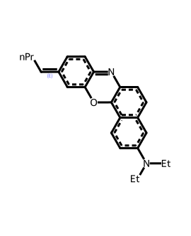 CCC/C=c1\ccc2c(c1)Oc1c(ccc3cc(N(CC)CC)ccc13)N=2